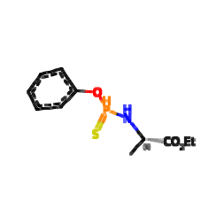 CCOC(=O)[C@H](C)N[PH](=S)Oc1ccccc1